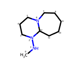 CNN1CCCN2CCCCCC21